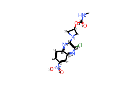 CNC(=O)OC1CN(c2nc3ccc([N+](=O)[O-])cc3nc2Cl)C1